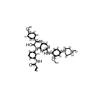 C=CC(=O)Nc1cccc(N2c3nc(Nc4ccc(N5CCN(C)CC5)cc4OC)ncc3N=C(c3ccc(OC)cc3)C2O)c1